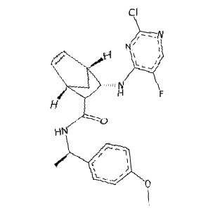 COc1ccc([C@@H](C)NC(=O)C2[C@@H]3C=C[C@@H](C3)[C@@H]2Nc2nc(Cl)ncc2F)cc1